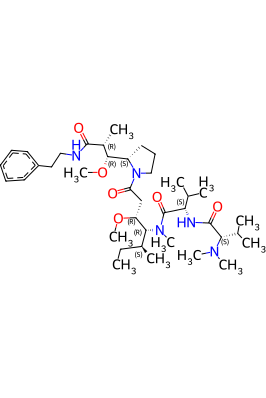 CC[C@H](C)[C@H]([C@@H](CC(=O)N1CCC[C@H]1[C@H](OC)[C@@H](C)C(=O)NCCc1ccccc1)OC)N(C)C(=O)[C@@H](NC(=O)[C@H](C(C)C)N(C)C)C(C)C